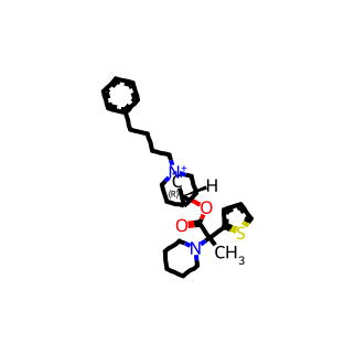 CC(C(=O)O[C@H]1C[N+]2(CCCCc3ccccc3)CCC1CC2)(c1cccs1)N1CCCCC1